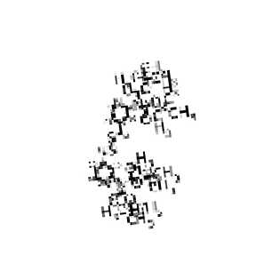 CC(C)(C)OC(=O)N(C(=O)OC(C)(C)C)c1cc(CSSCc2ccnc(N(C(=O)OC(C)(C)C)C(=O)OC(C)(C)C)c2)ccn1